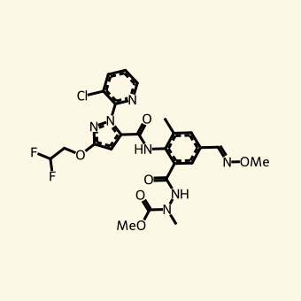 CO/N=C/c1cc(C)c(NC(=O)c2cc(OCC(F)F)nn2-c2ncccc2Cl)c(C(=O)NN(C)C(=O)OC)c1